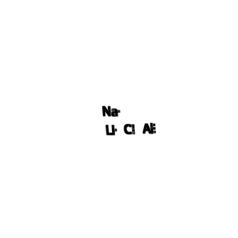 [Al].[C].[Li].[Na]